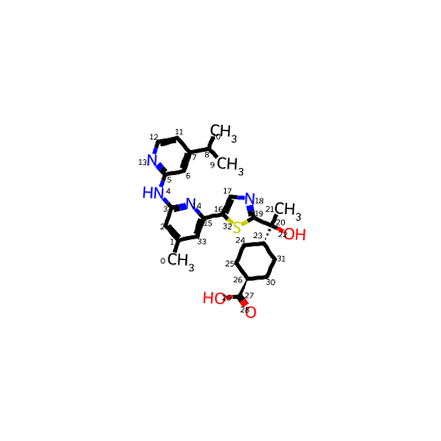 Cc1cc(Nc2cc(C(C)C)ccn2)nc(-c2cnc(C(C)(O)[C@H]3CC[C@H](C(=O)O)CC3)s2)c1